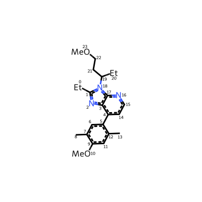 CCc1nc2c(-c3cc(C)c(OC)cc3C)ccnc2n1C(CC)CCOC